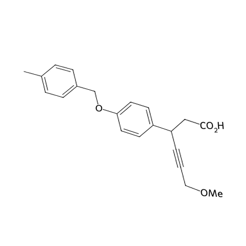 COCC#CC(CC(=O)O)c1ccc(OCc2ccc(C)cc2)cc1